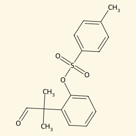 Cc1ccc(S(=O)(=O)Oc2ccccc2C(C)(C)C=O)cc1